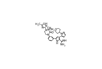 CC1=NC(N2CCN(c3cccc(-c4cc(-c5ccnn5C5CCOCC5)c(C(=N)N)[nH]4)c3)C(=O)C2(C)C)NO1